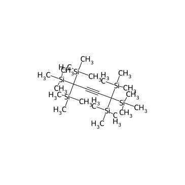 C[Si](C)(C)C(C#CC([Si](C)(C)C)([Si](C)(C)C)[Si](C)(C)C)([Si](C)(C)C)[Si](C)(C)C